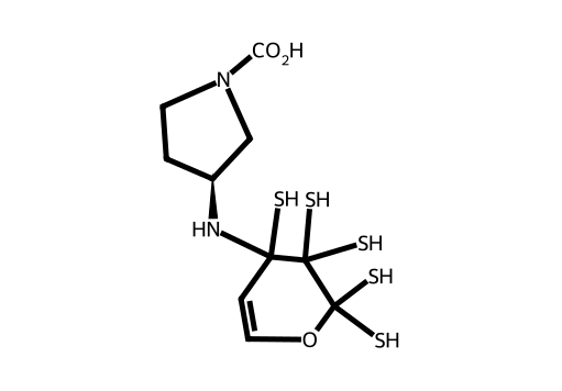 O=C(O)N1CC[C@H](NC2(S)C=COC(S)(S)C2(S)S)C1